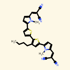 CCCCc1cc(-c2ccc(C=C(C#N)C#N)n2C)sc1-c1ccc(-c2ccc(C=C(C#N)C#N)n2C)s1